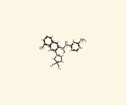 C[C@H](Nc1ncnc(N)n1)c1cc2cccc(Cl)c2nc1N1CCC(F)(F)C1